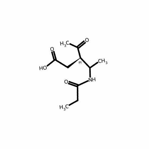 CCC(=O)NC(C)[C@@H](CC(=O)O)C(C)=O